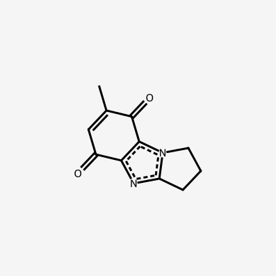 CC1=CC(=O)c2nc3n(c2C1=O)CCC3